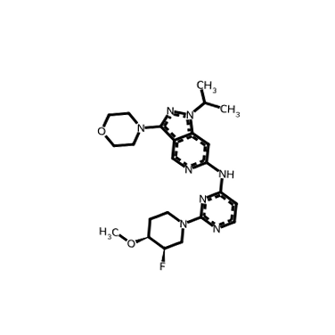 CO[C@H]1CCN(c2nccc(Nc3cc4c(cn3)c(N3CCOCC3)nn4C(C)C)n2)C[C@H]1F